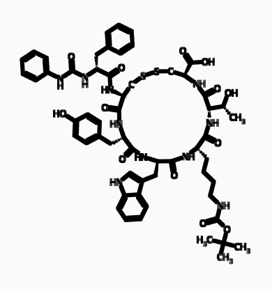 C[C@@H](O)[C@@H]1NC(=O)[C@H](CCCCNC(=O)OC(C)(C)C)NC(=O)[C@@H](Cc2c[nH]c3ccccc23)NC(=O)[C@H](Cc2ccc(O)cc2)NC(=O)[C@@H](NC(=O)[C@@H](Cc2ccccc2)NC(=O)Nc2ccccc2)CSSC[C@@H](C(=O)O)NC1=O